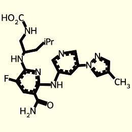 Cc1cnn(-c2cncc(Nc3nc(NC(CNC(=O)O)CC(C)C)c(F)cc3C(N)=O)c2)c1